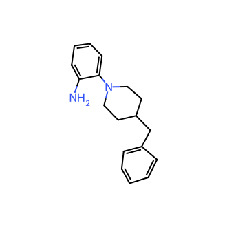 Nc1ccccc1N1CCC(Cc2ccccc2)CC1